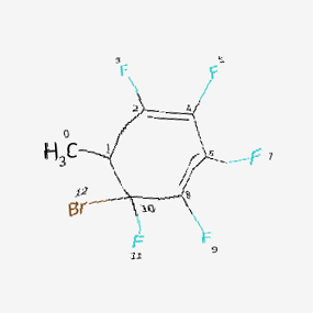 CC1C(F)=C(F)C(F)=C(F)C1(F)Br